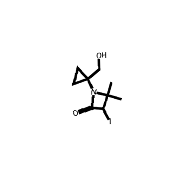 CC1(C)C(I)C(=O)N1C1(CO)CC1